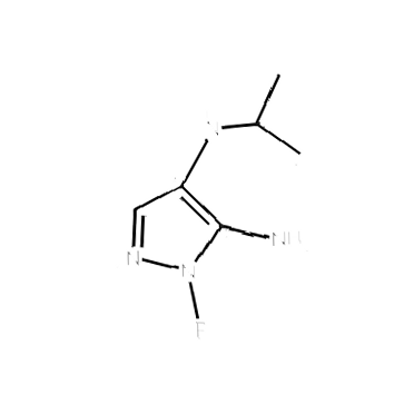 CC(C)Nc1cnn(F)c1N